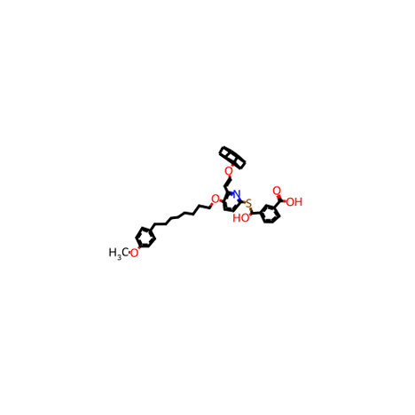 COc1ccc(CCCCCCCCOc2ccc(SC(O)c3cccc(C(=O)O)c3)nc2C=COC23C4C5C6C4C2C6C53)cc1